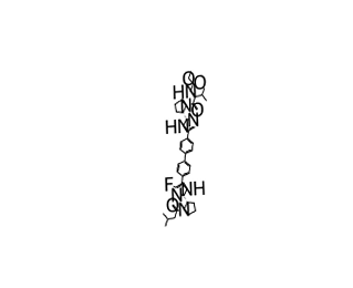 COC(=O)N[C@H](C(=O)N1CCC[C@H]1c1ncc(-c2ccc(-c3ccc(-c4[nH]c([C@@H]5CCCN5C(=O)CC(C)C)nc4F)cc3)cc2)[nH]1)C(C)C